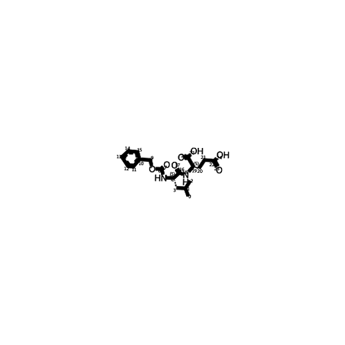 CC(C)C[C@H](NC(=O)OCc1ccccc1)C(=O)N[C@@H](CCC(=O)O)C(=O)O